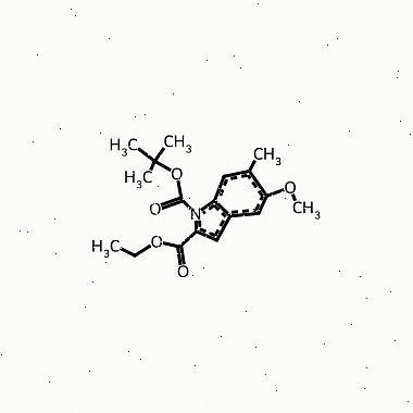 CCOC(=O)c1cc2cc(OC)c(C)cc2n1C(=O)OC(C)(C)C